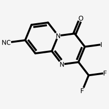 N#Cc1ccn2c(=O)c(I)c(C(F)F)nc2c1